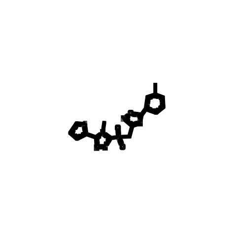 Cc1cccc(-c2nc(CS(=O)(=O)c3nnc(-c4cccs4)n3C)no2)c1